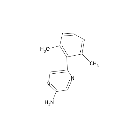 Cc1cccc(C)c1-c1cnc(N)cn1